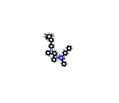 CC1CC(C)(C)c2ccc(-c3ccc(-n4c5ccccc5c5c6c7ccccc7n(-c7nc(-c8ccccc8)nc(-c8ccc(-c9ccccc9)cc8)n7)c6ccc54)cc3)cc2C1(C)C